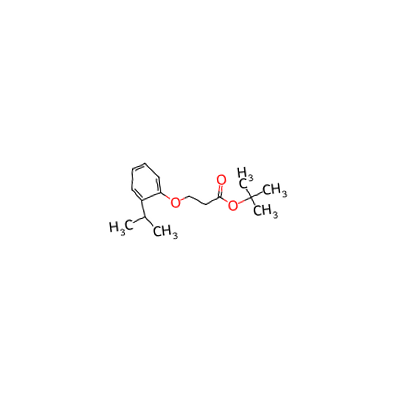 CC(C)c1ccccc1OCCC(=O)OC(C)(C)C